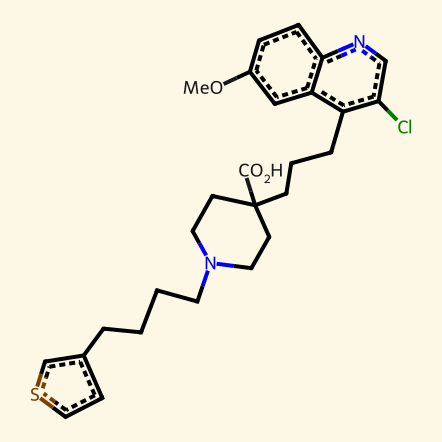 COc1ccc2ncc(Cl)c(CCCC3(C(=O)O)CCN(CCCCc4ccsc4)CC3)c2c1